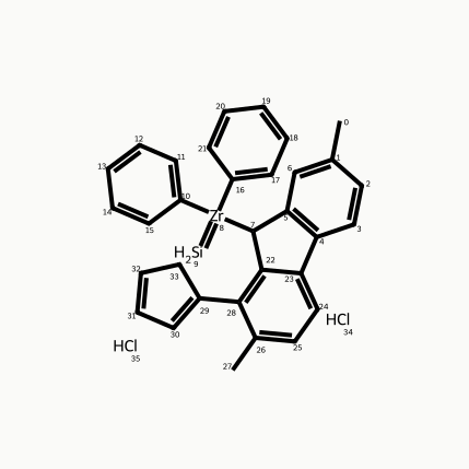 Cc1ccc2c(c1)[CH]([Zr](=[SiH2])([c]1ccccc1)[c]1ccccc1)c1c-2ccc(C)c1C1=CC=CC1.Cl.Cl